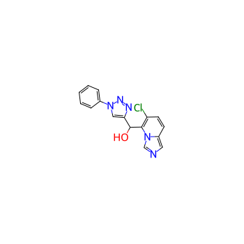 OC(c1cn(-c2ccccc2)nn1)c1c(Cl)ccc2cncn12